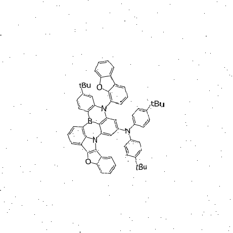 CC(C)(C)c1ccc(N(c2ccc(C(C)(C)C)cc2)c2cc3c4c(c2)-n2c5c(cccc5c5oc6ccccc6c52)B4c2ccc(C(C)(C)C)cc2N3c2cccc3c2oc2ccccc23)cc1